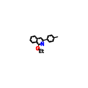 CCOc1nc(-c2ccc(C)cc2)cc2ccccc12